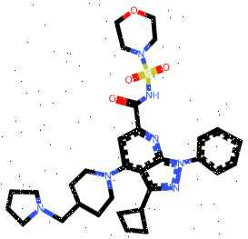 O=C(NS(=O)(=O)N1CCOCC1)c1cc(N2CCC(CN3CCCC3)CC2)c2c(C3CCC3)nn(-c3ccccc3)c2n1